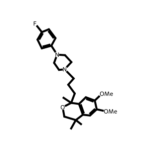 COc1cc2c(cc1OC)C(C)(CCCN1CCN(c3ccc(F)cc3)CC1)OCC2(C)C